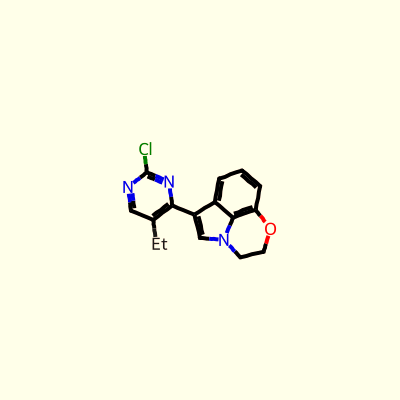 CCc1cnc(Cl)nc1-c1cn2c3c(cccc13)OCC2